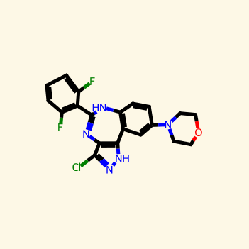 Fc1cccc(F)c1C1=Nc2c(Cl)n[nH]c2-c2cc(N3CCOCC3)ccc2N1